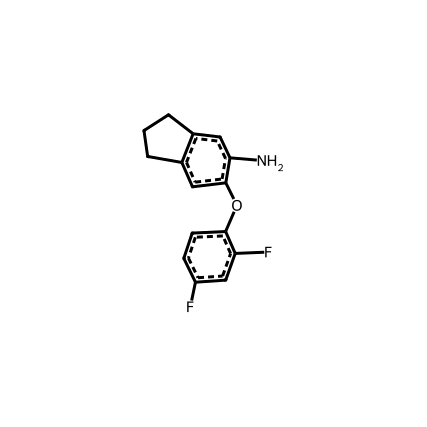 Nc1cc2c(cc1Oc1ccc(F)cc1F)CCC2